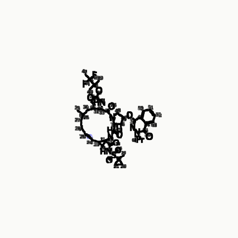 CC(C)n1nc(O[C@@H]2C[C@H]3C(=O)N[C@]4(C(=O)NS(=O)(=O)C5(C)CC5)CC4/C=C\CC[C@@H](C)C[C@@H](C)[C@H](NC(=O)OC(C)(C)C(C)(F)F)C(=O)N3C2)c2ccccc2c1=O